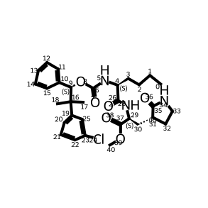 CCCC[C@H](NC(=O)O[C@@H](c1ccccc1)C(C)(C)c1cccc(Cl)c1)C(=O)N[C@@H](C[C@H]1CCNC1=O)C(=O)OC